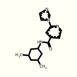 CC1CC(C)CC(NC(=O)c2ccnc(-n3ccnc3)c2)C1